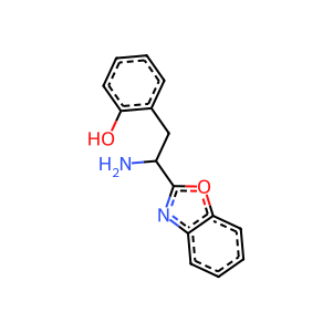 NC(Cc1ccccc1O)c1nc2ccccc2o1